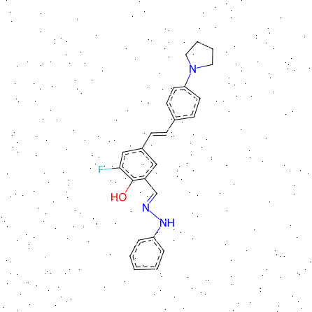 Oc1c(F)cc(/C=C/c2ccc(N3CCCC3)cc2)cc1/C=N/Nc1ccccc1